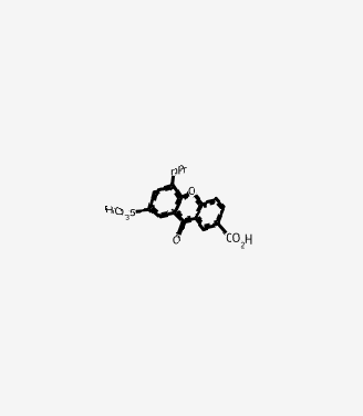 CCCc1cc(S(=O)(=O)O)cc2c(=O)c3cc(C(=O)O)ccc3oc12